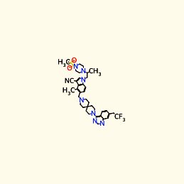 Cc1c(CN2CCC3(CC2)CCN(c2ncnc4cc(CC(F)(F)F)ccc24)CC3)ccc2c1c(C#N)cn2CC(C)N1CCN(S(C)(=O)=O)CC1